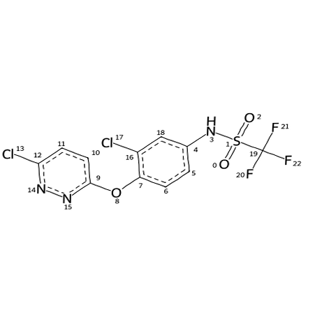 O=S(=O)(Nc1ccc(Oc2ccc(Cl)nn2)c(Cl)c1)C(F)(F)F